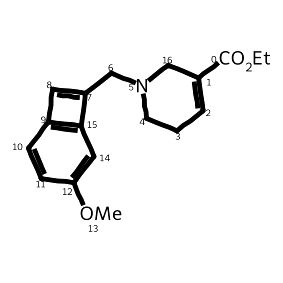 CCOC(=O)C1=CCCN(CC2=Cc3ccc(OC)cc32)C1